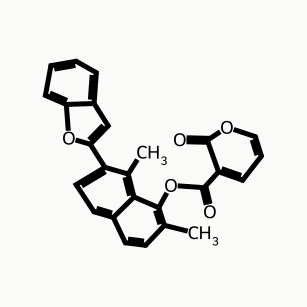 Cc1ccc2ccc(-c3cc4ccccc4o3)c(C)c2c1OC(=O)c1cccoc1=O